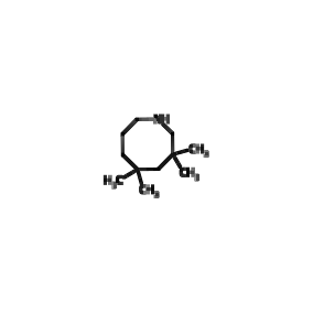 CC1(C)CCCNCC(C)(C)C1